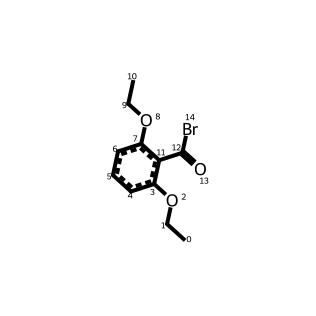 CCOc1cccc(OCC)c1C(=O)Br